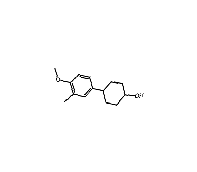 COc1ccc(C2CCC(O)CC2)cc1C